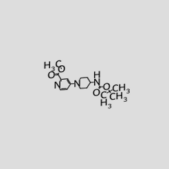 COC(=O)c1cc(N2CCC(NC(=O)OC(C)(C)C)CC2)ccn1